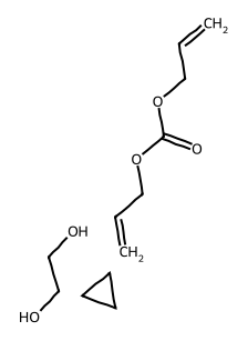 C1CC1.C=CCOC(=O)OCC=C.OCCO